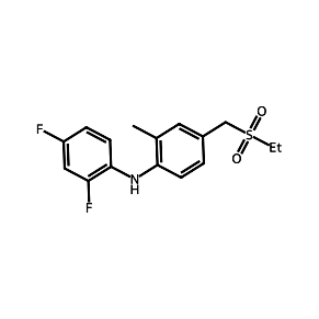 CCS(=O)(=O)Cc1ccc(Nc2ccc(F)cc2F)c(C)c1